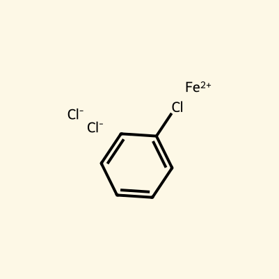 Clc1ccccc1.[Cl-].[Cl-].[Fe+2]